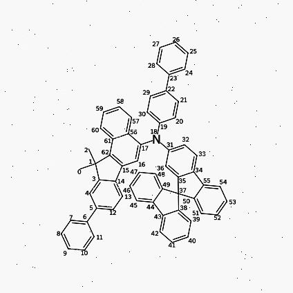 CC1(C)c2cc(-c3ccccc3)ccc2-c2cc(N(c3ccc(-c4ccccc4)cc3)c3ccc4c(c3)C3(c5ccccc5-c5ccccc53)c3ccccc3-4)c3ccccc3c21